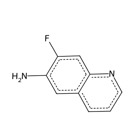 Nc1cc2cccnc2cc1F